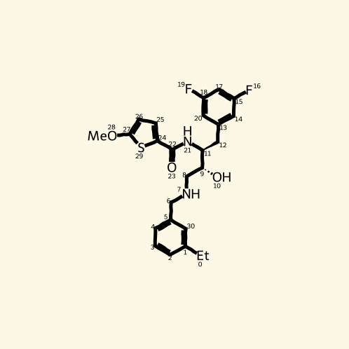 CCc1cccc(CNC[C@@H](O)[C@H](Cc2cc(F)cc(F)c2)NC(=O)c2ccc(OC)s2)c1